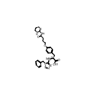 O=C(CCCOc1ccc(C[C@H](Nc2nnnn2Cc2ccccc2)C(=O)O)cc1)NC1=NCCCN1